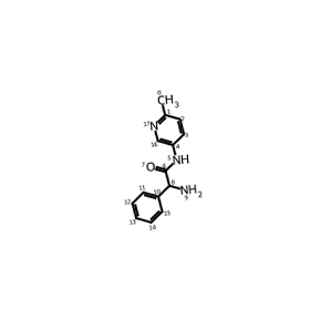 Cc1ccc(NC(=O)C(N)c2ccccc2)cn1